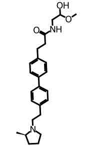 COC(O)CNC(=O)CCc1ccc(-c2ccc(CCN3CCC[C@H]3C)cc2)cc1